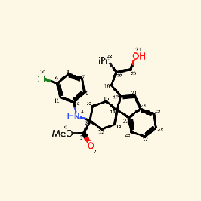 COC(=O)C1(Nc2cccc(Cl)c2)CCC2(CC1)C(CC(CO)C(C)C)=Cc1ccccc12